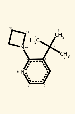 CC(C)(C)c1cccnc1N1CCC1